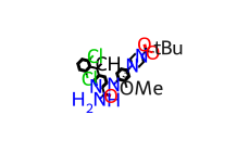 COc1cc(N2CCN(C(=O)OC(C)(C)C)CC2)ccc1Nc1cc(C(C)c2c(Cl)cccc2Cl)cnc1C(N)=O